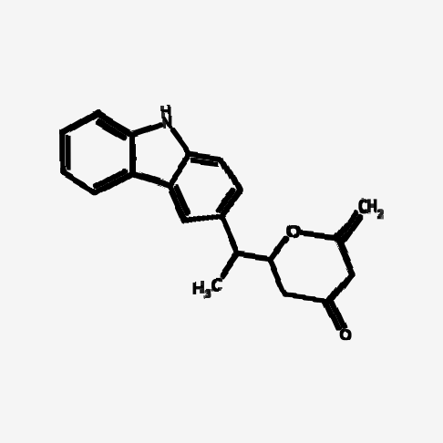 C=C1CC(=O)CC(C(C)c2ccc3[nH]c4ccccc4c3c2)O1